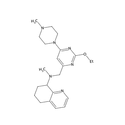 CCOc1nc(CN(C)C2CCCc3cccnc32)cc(N2CCN(C)CC2)n1